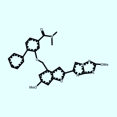 COc1cc(COc2cc(C(=O)N(C)C)ccc2-c2ccccc2)c2cc(-c3cn4nc(OC)sc4n3)oc2c1